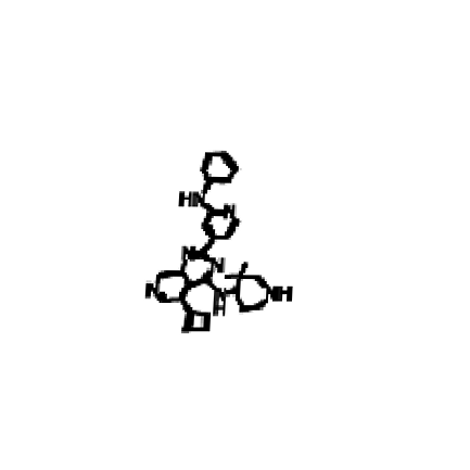 CC1(C)CNCCC1Nc1nc(-c2ccnc(Nc3ccccc3)c2)nc2cncc(C3=CC=C3)c12